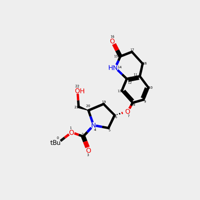 CC(C)(C)OC(=O)N1C[C@@H](Oc2ccc3c(c2)NC(=O)CC3)C[C@@H]1CO